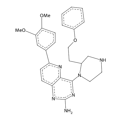 COc1ccc(-c2ccc3nc(N)nc(N4CCNCC4CCOc4ccccc4)c3n2)cc1OC